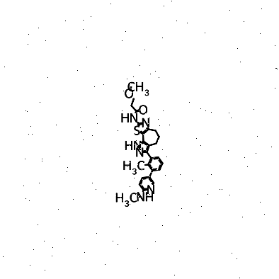 CNc1ccc(-c2cccc(-c3n[nH]c4c3CCCc3nc(NC(=O)CCOC)sc3-4)c2C)cn1